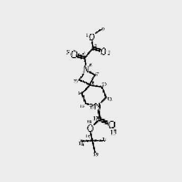 COC(=O)C(=O)N1CC2(CCN(C(=O)OC(C)(C)C)CC2)C1